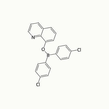 Clc1ccc(B(Oc2cccc3cccnc23)c2ccc(Cl)cc2)cc1